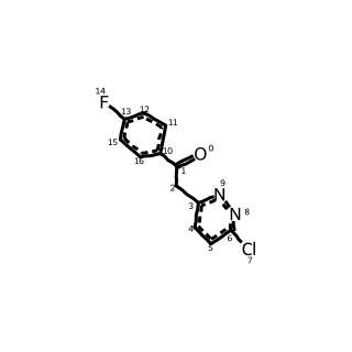 O=C(Cc1ccc(Cl)nn1)c1ccc(F)cc1